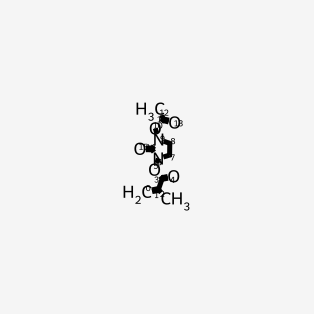 C=C(C)C(=O)ON1CCN(OC(C)=O)C1=O